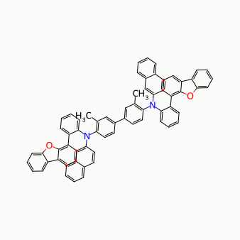 Cc1cc(-c2ccc(N(c3ccc4ccccc4c3)c3ccccc3-c3cccc4c3oc3ccccc34)c(C)c2)ccc1N(c1ccc2ccccc2c1)c1ccccc1-c1cccc2c1oc1ccccc12